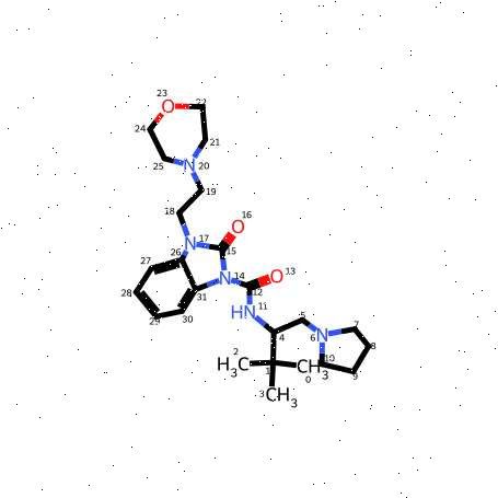 CC(C)(C)C(CN1CCCC1)NC(=O)n1c(=O)n(CCN2CCOCC2)c2ccccc21